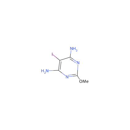 COc1nc(N)c(I)c(N)n1